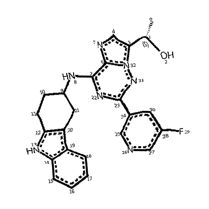 C[C@H](O)c1cnc2c(NC3CCc4[nH]c5ccccc5c4C3)nc(-c3cncc(F)c3)nn12